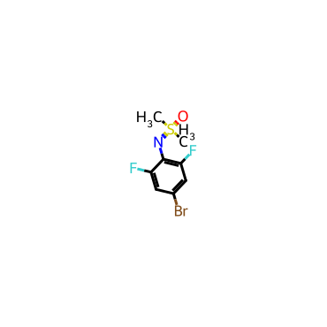 CS(C)(=O)=Nc1c(F)cc(Br)cc1F